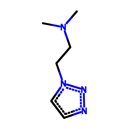 CN(C)CCn1ccnn1